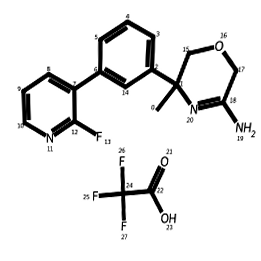 CC1(c2cccc(-c3cccnc3F)c2)COCC(N)=N1.O=C(O)C(F)(F)F